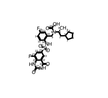 C[C@@H](CC1CCCC1)N(Cc1cc(F)ccc1NS(=O)(=O)c1cc(F)c2[nH]c(=O)[nH]c(=O)c2c1)C(=O)O